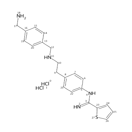 Cl.Cl.N=C(Nc1ccc(CCNCc2ccc(CN)cc2)cc1)c1cccs1